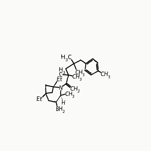 BC1CC2(CC)CC(CC)(C2)N(C(=C)C(C)(C)CC(C)(C)Cc2ccc(C)cc2)[C@H]1C